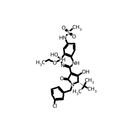 CCO[PH]1(O)N=C(C2=C(O)[C@H](C(C)(C)C)N(Cc3cccc(Cl)c3)C2=O)Nc2ccc(NS(C)(=O)=O)cc21